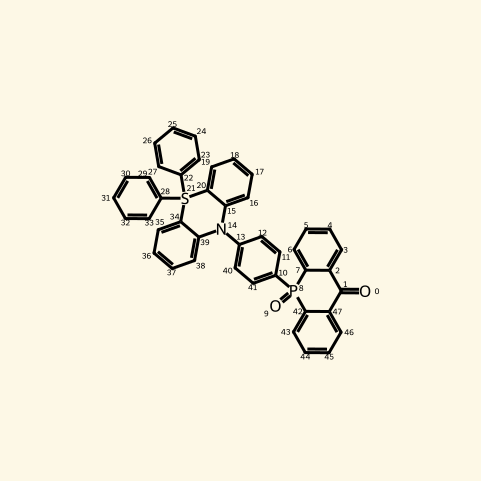 O=C1c2ccccc2P(=O)(c2ccc(N3c4ccccc4S(c4ccccc4)(c4ccccc4)c4ccccc43)cc2)c2ccccc21